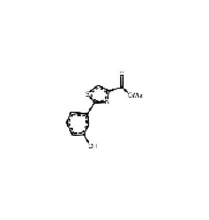 COC(=O)c1csc(-c2cccc(O)c2)n1